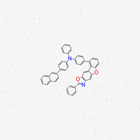 c1ccc(-c2nc3cc4oc5cccc(-c6ccc(N(c7ccccc7)c7ccc(-c8ccc9ccccc9c8)cc7)cc6)c5c4cc3o2)cc1